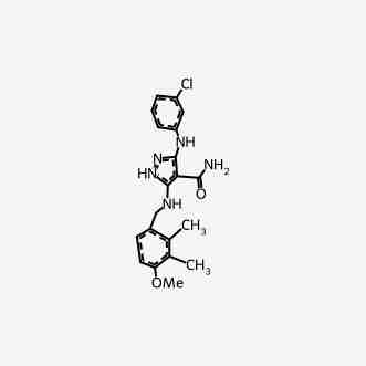 COc1ccc(CNc2[nH]nc(Nc3cccc(Cl)c3)c2C(N)=O)c(C)c1C